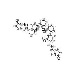 COc1nc(-c2cccc(-c3cccc(-c4ccc5c(n4)CCC[C@@H]5NC[C@@H]4CCC(=O)N4)c3Cl)c2Cl)ccc1CNC[C@H]1CCC(=O)N1